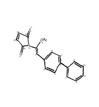 CC(=O)OC(=Cc1ccc(-c2ccccc2)cc1)N1C(=O)C=CC1=O